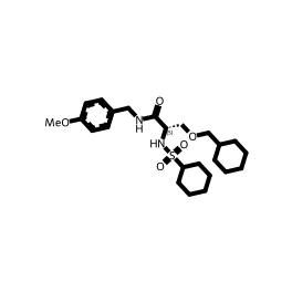 COc1ccc(CNC(=O)[C@H](COCC2CCCCC2)NS(=O)(=O)C2CCCCC2)cc1